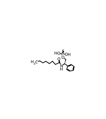 CCCCCCCC(=O)N[C@@H](COP(O)(O)=S)c1ccccc1